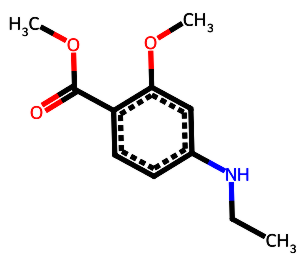 CCNc1ccc(C(=O)OC)c(OC)c1